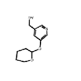 OCc1cncc(OC2CCCCO2)c1